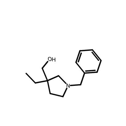 CCC1(CO)CCN(Cc2ccccc2)C1